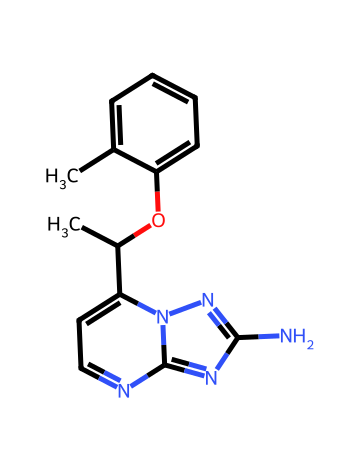 Cc1ccccc1OC(C)c1ccnc2nc(N)nn12